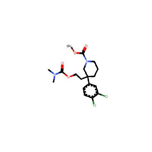 CN(C)C(=O)OCCC1(c2ccc(Cl)c(Cl)c2)CCCN(C(=O)OC(C)(C)C)C1